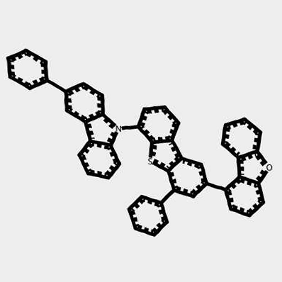 c1ccc(-c2ccc3c(c2)c2ccccc2n3-c2cccc3c2sc2c(-c4ccccc4)cc(-c4cccc5oc6ccccc6c45)cc23)cc1